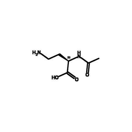 CC(=O)N[C@H](CCN)C(=O)O